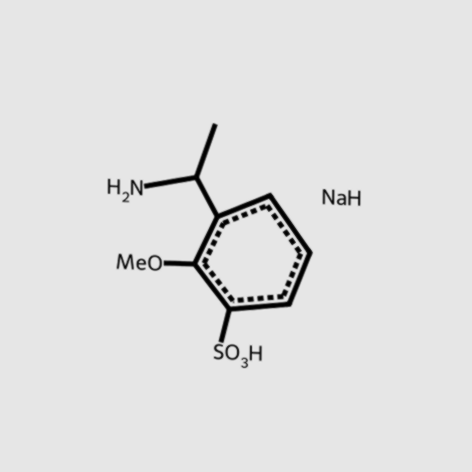 COc1c(C(C)N)cccc1S(=O)(=O)O.[NaH]